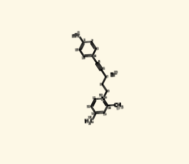 CCCc1ccc(C#CCCC[n+]2ccc(C)cc2C)cc1.[Br-]